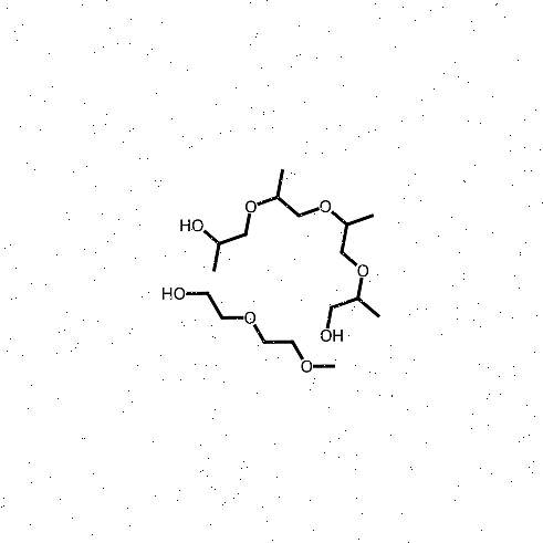 CC(O)COC(C)COC(C)COC(C)CO.COCCOCCO